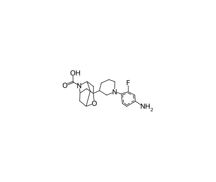 Nc1ccc(N2CCCC(C34CC5CC(CC(C3)N5C(=O)O)O4)C2)c(F)c1